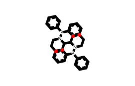 c1ccc(P(c2ccccc2)N2CCCCC2C2CCCCN2P(c2ccccc2)c2ccccc2)cc1